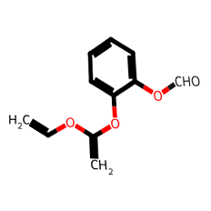 C=COC(=C)Oc1ccccc1OC=O